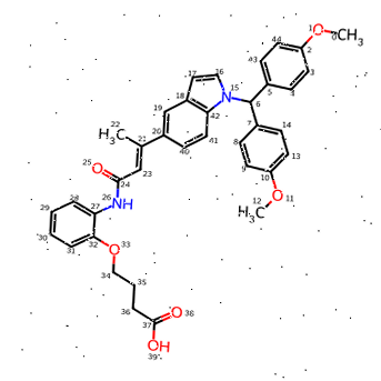 COc1ccc(C(c2ccc(OC)cc2)n2ccc3cc(C(C)=CC(=O)Nc4ccccc4OCCCC(=O)O)ccc32)cc1